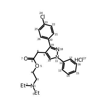 CCN(CC)CCOC(=O)Cc1cn(-c2ccccc2)nc1-c1ccc(Cl)cc1.Cl